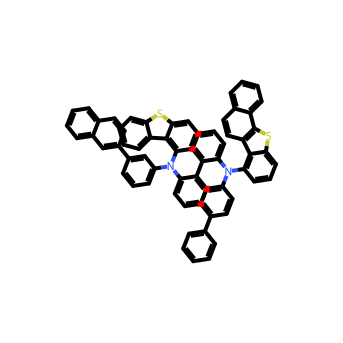 c1ccc(-c2ccc(N(c3ccccc3-c3ccccc3N(c3cccc(-c4ccc5ccccc5c4)c3)c3cccc4sc5ccccc5c34)c3cccc4sc5c6ccccc6ccc5c34)cc2)cc1